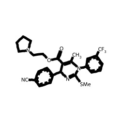 CSC1=NC(c2ccc(C#N)cc2)C(C(=O)OCCN2CCCC2)=C(C)N1c1cccc(C(F)(F)F)c1